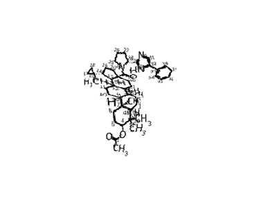 CC(=O)O[C@H]1CC[C@]2(C)[C@H]3CC[C@@H]4[C@H]5[C@H](C6(C)CC6)CC[C@]5(C(=O)N5CCC[C@@H]5c5ncc(-c6ccccc6)[nH]5)CC[C@@]4(C)[C@]3(C)CC[C@H]2C1(C)C